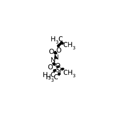 CC[Si](CC)(CC)OC(=O)/N=N/C(=O)OCC(C)C